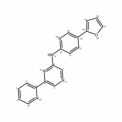 c1ccc(-c2cncc(Nc3ccc(-c4ccco4)cn3)n2)nc1